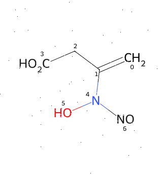 C=C(CC(=O)O)N(O)N=O